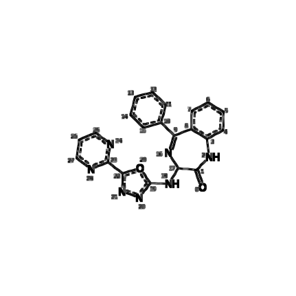 O=C1Nc2ccccc2C(c2ccccc2)=NC1Nc1nnc(-c2ncccn2)o1